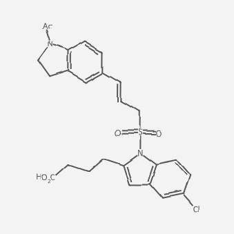 CC(=O)N1CCc2cc(C=CCS(=O)(=O)n3c(CCCC(=O)O)cc4cc(Cl)ccc43)ccc21